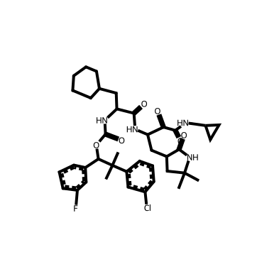 CC1(C)CC(CC(NC(=O)C(CC2CCCCC2)NC(=O)OC(c2cccc(F)c2)C(C)(C)c2cccc(Cl)c2)C(=O)C(=O)NC2CC2)C(=O)N1